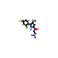 CN(C)/C=C/C(=O)c1cc(C#N)c(-c2ccc(Cl)cc2Cl)[nH]1